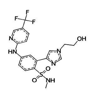 CNS(=O)(=O)c1ccc(Nc2ccc(C(F)(F)F)cn2)cc1-c1cn(CCO)cn1